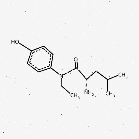 CCN(C(=O)[C@@H](N)CC(C)C)c1ccc(O)cc1